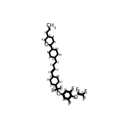 CCCC1CCC(C2CCC(CC/C=C/C3CCC(C(F)(F)Oc4cc(F)c(OC(F)=C(F)F)c(F)c4)CC3)CC2)OC1